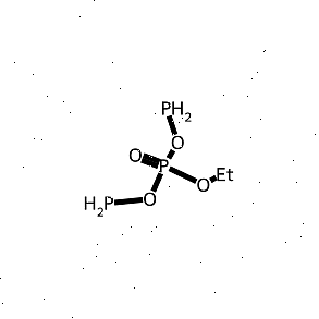 CCOP(=O)(OP)OP